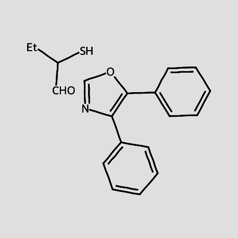 CCC(S)C=O.c1ccc(-c2ncoc2-c2ccccc2)cc1